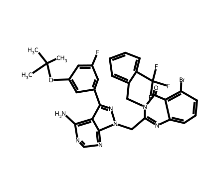 CC(C)(C)Oc1cc(F)cc(-c2nn(Cc3nc4cccc(Br)c4c(=O)n3Cc3ccccc3C(F)(F)F)c3ncnc(N)c23)c1